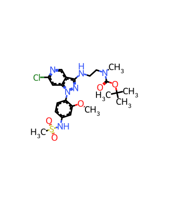 COc1cc(NS(C)(=O)=O)ccc1-n1nc(NCCN(C)C(=O)OC(C)(C)C)c2cnc(Cl)cc21